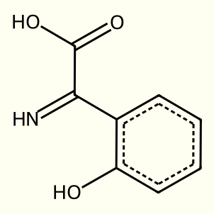 N=C(C(=O)O)c1ccccc1O